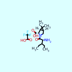 CCC(CC)[C@H](N)C(=O)N1C[C@H]2[C@@H]([C@H]1C(=O)O)C2(C)C.O=C(O)C(F)(F)F